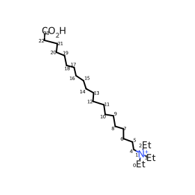 CC[N+](CC)(CC)CCCCCCCCCCCCCCCCCCCC(=O)O